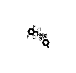 Cc1ccc(S(=O)(=O)NN=C(Cl)c2c(F)ccc(F)c2Cl)cc1